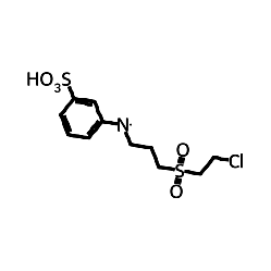 O=S(=O)(CCCl)CCC[N]c1cccc(S(=O)(=O)O)c1